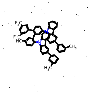 Cc1cccc(-c2ccc3c(c2)c2ccccc2n3-c2ccc(-c3cc(C(F)(F)F)cc(C(F)(F)F)c3)c(-c3cc(C#N)ccc3-n3c4ccccc4c4cc(-c5cccc(C)c5)ccc43)c2)c1